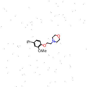 COc1cc(C(C)C)ccc1OCCN1CCOCC1